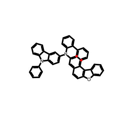 c1ccc(-c2ccccc2N(c2ccc3c(ccc4oc5ccccc5c43)c2)c2ccc3c(c2)c2ccccc2n3-c2ccccc2)cc1